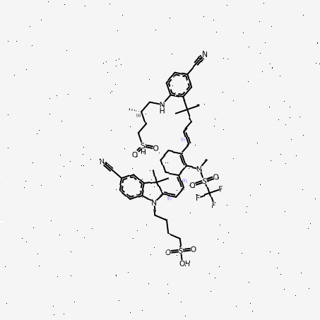 C[C@@H](CC[SH](=O)=O)CNc1ccc(C#N)cc1C(C)(C)C/C=C/C1=C(N(C)S(=O)(=O)C(F)(F)F)C(=C/C=C2/N(CCCCS(=O)(=O)O)c3ccc(C#N)cc3C2(C)C)/CCC1